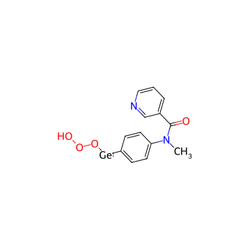 CN(C(=O)c1cccnc1)c1cc[c]([Ge][O]OO)cc1